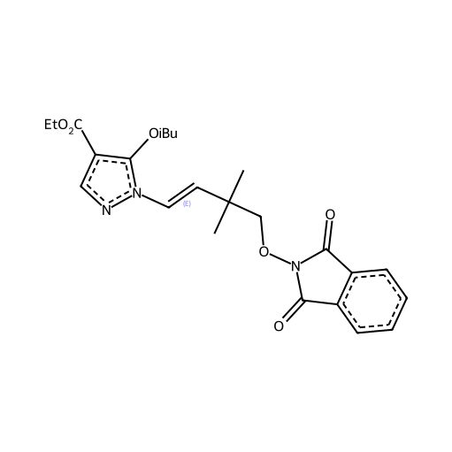 CCOC(=O)c1cnn(/C=C/C(C)(C)CON2C(=O)c3ccccc3C2=O)c1OCC(C)C